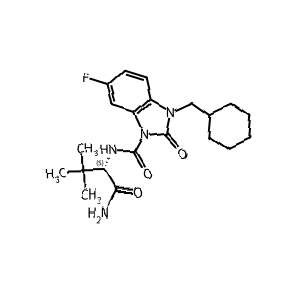 CC(C)(C)[C@H](NC(=O)n1c(=O)n(CC2CCCCC2)c2ccc(F)cc21)C(N)=O